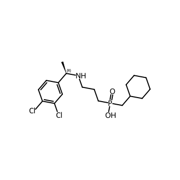 C[C@@H](NCCCP(=O)(O)CC1CCCCC1)c1ccc(Cl)c(Cl)c1